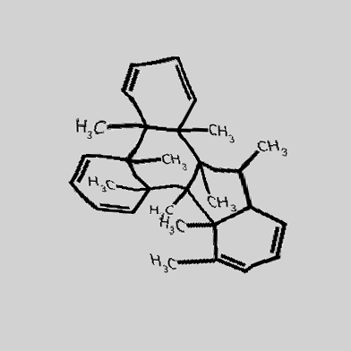 CC1=CC=CC2C(C)C3(C)C4(C)C=CC=CC4(C)C4(C)C=CC=CC4(C)C3(C)C12C